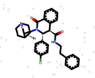 O=C(NCCc1ccccc1)[C@@H]1c2ccccc2C(=O)N([C@@H]2CN3CCC2CC3)[C@H]1c1ccc(Cl)cc1